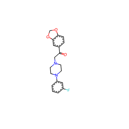 O=C(CN1CCN(c2cccc(F)c2)CC1)c1ccc2c(c1)OCO2